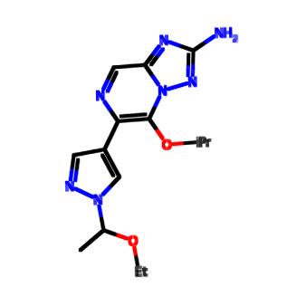 CCOC(C)n1cc(-c2ncc3nc(N)nn3c2OC(C)C)cn1